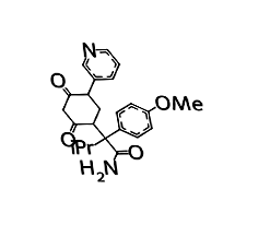 COc1ccc(C(C(N)=O)(C(C)C)C2CC(c3cccnc3)C(=O)CC2=O)cc1